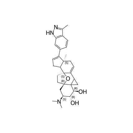 Cc1n[nH]c2cc(C3=CCC4[C@]3(C)CC=C3C5CC56[C@@H](O)[C@H](O)[C@@H](N(C)C)C[C@]65CC[C@@]34O5)ccc12